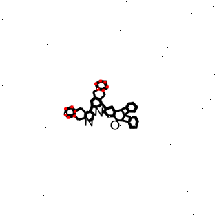 O=C1c2cc3c(cc2C2c4ccccc4C24c2ccccc2C14)c1c2c(cc4c5c6c(ncc5n3c41)C1c3ccccc3C6c3ccccc31)C1c3ccccc3C2c2ccccc21